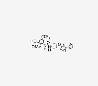 COc1c(CO)cc(OC(F)(F)F)cc1NC(=O)NC1CCC(Oc2ccnc(-c3cccnc3)n2)CC1